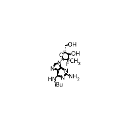 CCC(C)Nc1nc(N)nc2c1ncn2[C@@H]1O[C@H](CO)[C@@H](O)[C@@]1(C)F